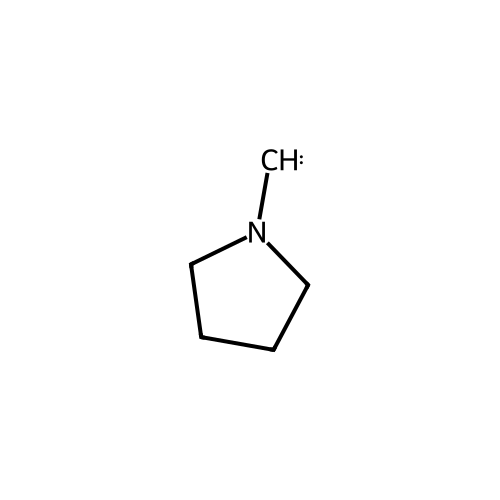 [CH]N1CCCC1